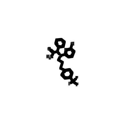 NC(=O)C(c1ccccc1)N(CCCc1ccc(C(F)(F)F)cc1)c1cccc(Cl)n1